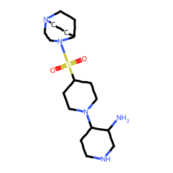 NC1CNCCC1N1CCC(S(=O)(=O)N2CCN3CCC2CC3)CC1